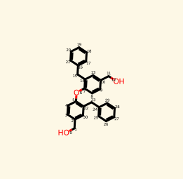 OCc1ccc(Oc2ccc(CO)cc2Cc2ccccc2)c(Cc2ccccc2)c1